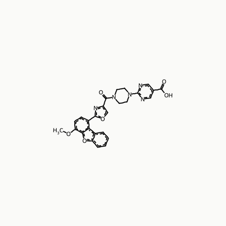 COc1ccc(-c2nc(C(=O)N3CCN(c4ncc(C(=O)O)cn4)CC3)co2)c2c1oc1ccccc12